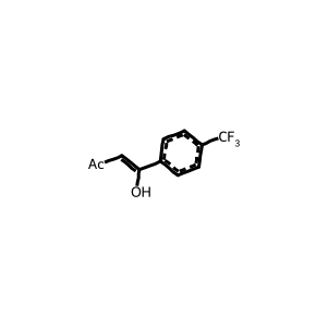 CC(=O)/C=C(\O)c1ccc(C(F)(F)F)cc1